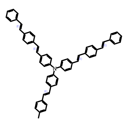 Cc1ccc(/C=C/c2ccc(N(c3ccc(/C=C/c4ccc(/C=C/c5ccccc5)cc4)cc3)c3ccc(/C=C/c4ccc(/C=C/c5ccccc5)cc4)cc3)cc2)cc1